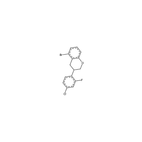 Fc1cc(Cl)ccc1C1COc2cccc(Br)c2C1